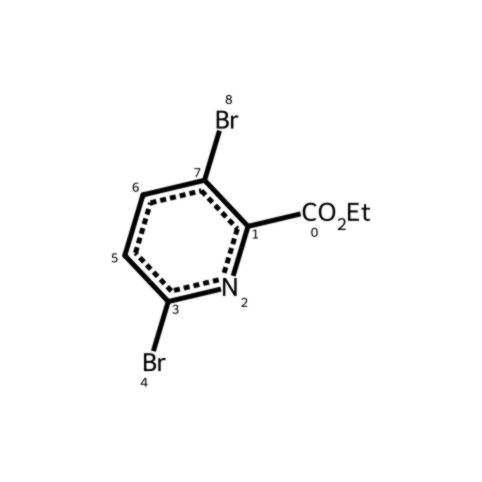 CCOC(=O)c1nc(Br)ccc1Br